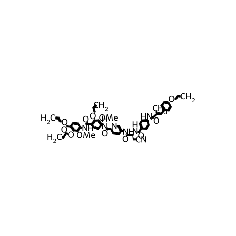 C=CCOC(=O)c1ccc(NC(=O)c2ccc(NC(=O)c3ccc(NC(=O)[C@H](CC#N)NC(=O)c4ccc(NC(=O)/C(C)=C/c5ccc(OCC=C)cc5)cc4)cn3)c(OC)c2OCC=C)c(OC)c1OCC=C